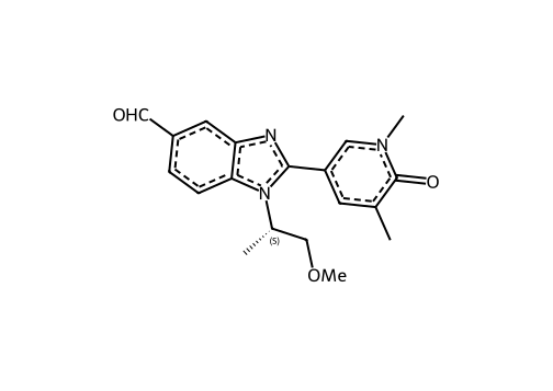 COC[C@H](C)n1c(-c2cc(C)c(=O)n(C)c2)nc2cc(C=O)ccc21